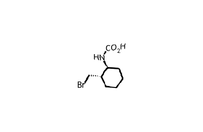 O=C(O)N[C@H]1CCCC[C@@H]1CBr